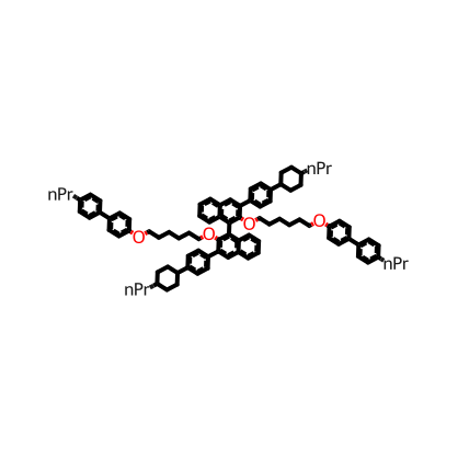 CCCc1ccc(-c2ccc(OCCCCCCOc3c(-c4ccc(C5CCC(CCC)CC5)cc4)cc4ccccc4c3-c3c(OCCCCCCOc4ccc(-c5ccc(CCC)cc5)cc4)c(-c4ccc(C5CCC(CCC)CC5)cc4)cc4ccccc34)cc2)cc1